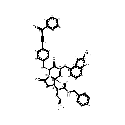 C=CCN(C(=O)NCc1ccccc1)N1CC(=O)N2[C@@H](Cc3ccc(C#CC(=O)c4ccccc4)cc3)C(=O)N(Cc3cccc4sc(N)nc34)C[C@@H]21